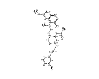 COc1ccc2ncc(Cl)c(C(N)CCC3CCN(CC#Cc4cccc(F)c4)CC3CC(=O)O)c2c1